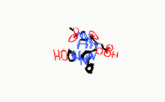 CCOC(=O)N1CCN(C(=O)[C@H](CCC(=O)O)NC(=O)c2cc(N3CCC(O)CC3)nc(-c3ccccc3)n2)CC1